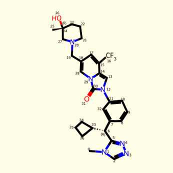 Cn1cnnc1[C@@H](c1cccc(-n2cc3c(C(F)(F)F)cc(CN4CCC[C@@](C)(O)C4)cn3c2=O)c1)C1CCC1